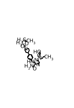 CCCN(OCO)c1cnc(C(N)=O)c(Nc2ccc(C3CCN(C(=O)OC(C)(C)C)CC3)cc2)n1